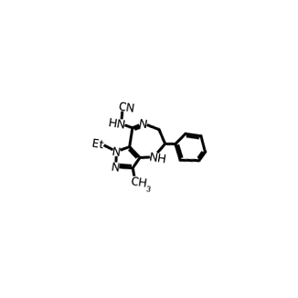 CCn1nc(C)c2c1C(NC#N)=NCC(c1ccccc1)N2